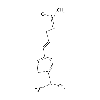 CN(C)c1ccc(C=CCC=[N+](C)[O-])cc1